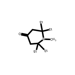 CCC1(CC)CC(=O)CC(CC)(CC)N1C